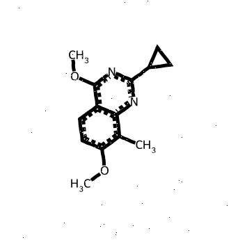 COc1ccc2c(OC)nc(C3CC3)nc2c1C